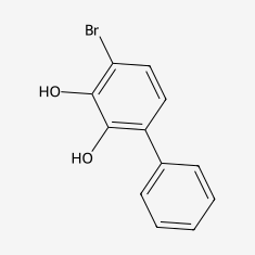 Oc1c(Br)ccc(-c2ccccc2)c1O